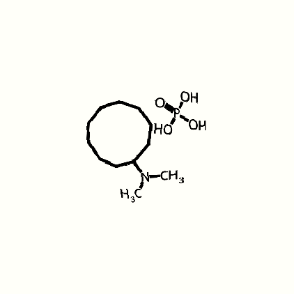 CN(C)C1CCCCCCCCC1.O=P(O)(O)O